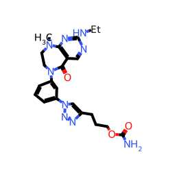 CCNc1ncc2c(n1)N(C)CCN(c1cccc(-n3cc(CCCOC(N)=O)nn3)c1)C2=O